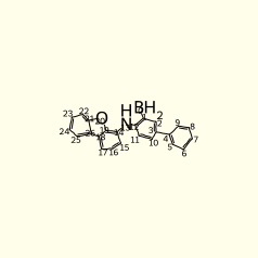 Bc1cc(-c2ccccc2)ccc1Nc1cccc2c1oc1ccccc12